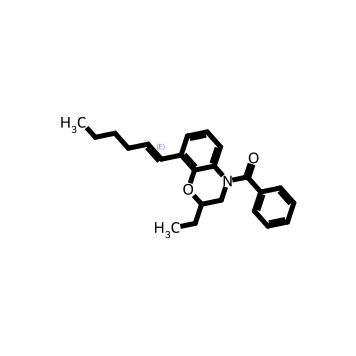 CCCC/C=C/c1cccc2c1OC(CC)CN2C(=O)c1ccccc1